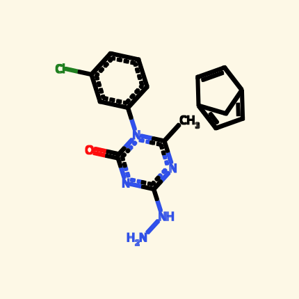 C1=CC2=CC=C1C2.Cc1nc(NN)nc(=O)n1-c1cccc(Cl)c1